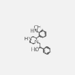 CNc1ccccc1C1CNCCN1CC(O)c1ccccc1